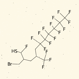 FC(S)C(CBr)CC(CC(F)(F)C(F)(F)C(F)(F)C(F)(F)C(F)(F)C(F)(F)F)C(F)(F)F